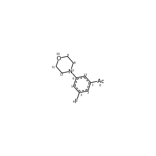 CC(=O)c1cc(F)cc(N2CCOCC2)c1